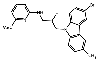 COc1cccc(NCC(F)Cn2c3ccc(C)cc3c3cc(Br)ccc32)n1